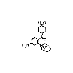 Nc1ccc(C(=O)N2CCS(=O)(=O)CC2)c(N2CC3CCC(C2)O3)c1